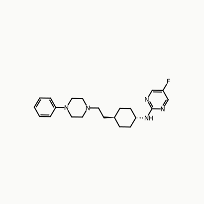 Fc1cnc(N[C@H]2CC[C@H](CCN3CCN(c4ccccc4)CC3)CC2)nc1